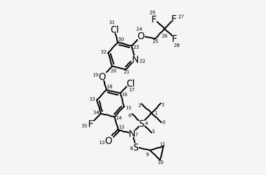 CC(C)(C)S(C)(C)N(SC1CC1)C(=O)c1cc(Cl)c(Oc2cnc(OCC(F)(F)F)c(Cl)c2)cc1F